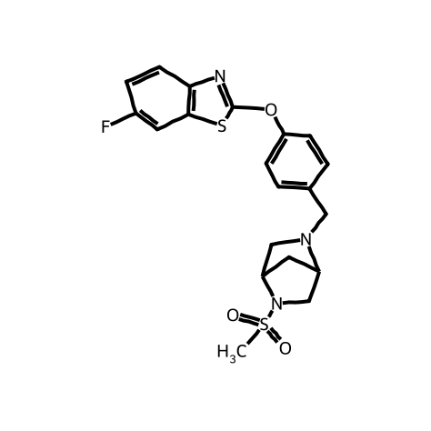 CS(=O)(=O)N1CC2CC1CN2Cc1ccc(Oc2nc3ccc(F)cc3s2)cc1